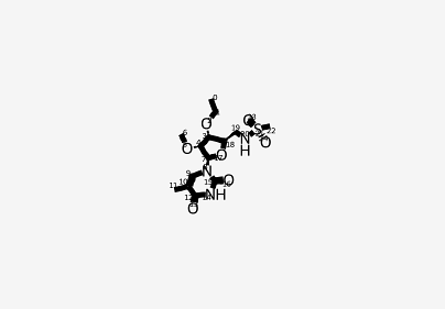 CCO[C@H]1[C@@H](OC)[C@H](n2cc(C)c(=O)[nH]c2=O)O[C@@H]1CNS(C)(=O)=O